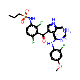 C=c1[nH]cc(C(=O)c2c(F)ccc(NS(=O)(=O)CCC)c2F)/c1=C(/N=C\N)Nc1ccc(OC)cc1F